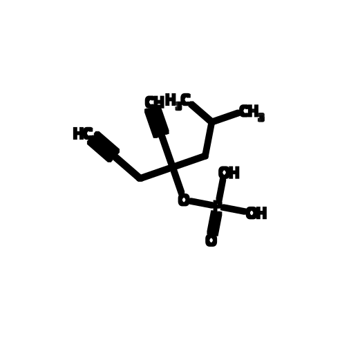 C#CCC(C#C)(CC(C)C)OP(=O)(O)O